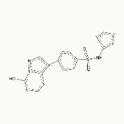 O=S(=O)(Nc1nccs1)c1ccc(-c2cnn3c(O)ncnc23)cc1